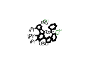 CC(C)c1cc(C(C)(C)C)cc2c1-c1c(C(C)C)c(C(C)C)c(C(C)(C)C)c(C3=CC=CC3)c1[CH]2[Zr+2]=[C](c1ccccc1)c1ccccc1.[Cl-].[Cl-]